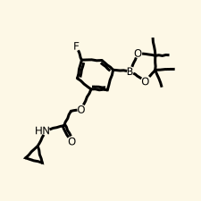 CC1(C)OB(c2cc(F)cc(OCC(=O)NC3CC3)c2)OC1(C)C